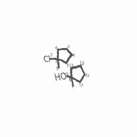 CC1(Cl)CCCC1.CC1(O)CCCC1